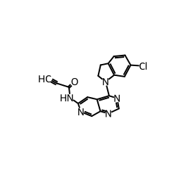 C#CC(=O)Nc1cc2c(N3CCc4ccc(Cl)cc43)ncnc2cn1